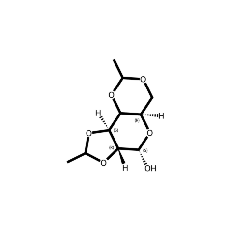 CC1OC[C@H]2O[C@H](O)[C@@H]3OC(C)O[C@H]3C2O1